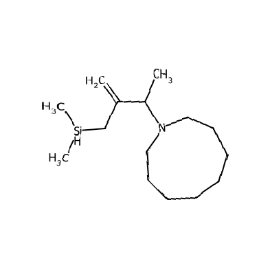 C=C(C[SiH](C)C)C(C)N1CCCCCCCC1